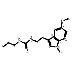 CCCNC(=O)NCCc1cn(C)c2ncc(OC)cc12